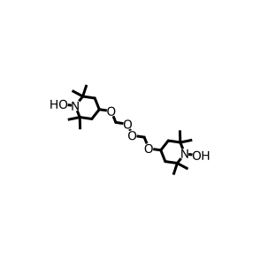 CC1(C)CC(OCOOCOC2CC(C)(C)N(O)C(C)(C)C2)CC(C)(C)N1O